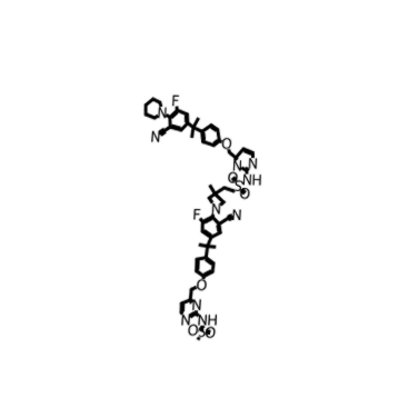 CC1(CCS(=O)(=O)Nc2nccc(COc3ccc(C(C)(C)c4cc(F)c(N5CCCCC5)c(C#N)c4)cc3)n2)CN(c2c(F)cc(C(C)(C)c3ccc(OCc4ccnc(NS(C)(=O)=O)n4)cc3)cc2C#N)C1